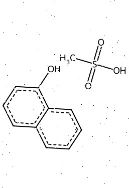 CS(=O)(=O)O.Oc1cccc2ccccc12